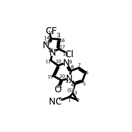 N#CC1C[C@@H]1c1cccc2nc(Cn3nc(C(F)(F)F)cc3Cl)cc(=O)n12